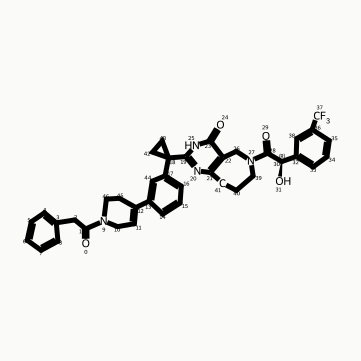 O=C(Cc1ccccc1)N1CC=C(c2cccc(C3(c4nc5c(c(=O)[nH]4)CN(C(=O)[C@H](O)c4cccc(C(F)(F)F)c4)CCC5)CC3)c2)CC1